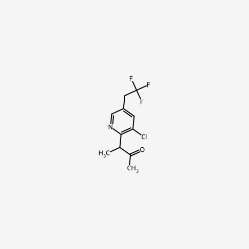 CC(=O)C(C)c1ncc(CC(F)(F)F)cc1Cl